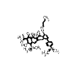 CCCCOc1ccc(-c2ccc(N(C)C)cc2)c2c1C(=O)C1=C(O)C3(O)C(=O)C(C(N)=O)=C(O)C(N(C)C)C3CC1C2